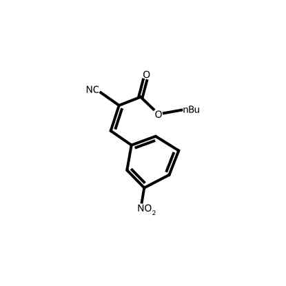 CCCCOC(=O)C(C#N)=Cc1cccc([N+](=O)[O-])c1